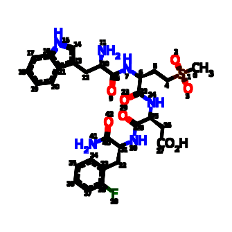 CS(=O)(=O)CC[C@H](NC(=O)[C@H](N)Cc1c[nH]c2ccccc12)C(=O)N[C@@H](CC(=O)O)C(=O)N[C@@H](Cc1ccccc1F)C(N)=O